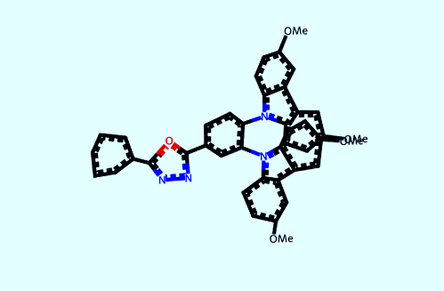 COc1ccc2c(c1)c1cc(OC)ccc1n2-c1ccc(-c2nnc(-c3ccccc3)o2)cc1-n1c2ccc(OC)cc2c2cc(OC)ccc21